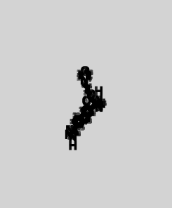 O=C(OCCCN1CCOCC1)c1[nH]nnc1-c1ccc2c(c1)Cc1cc(-c3c[nH]nn3)ccc1-2